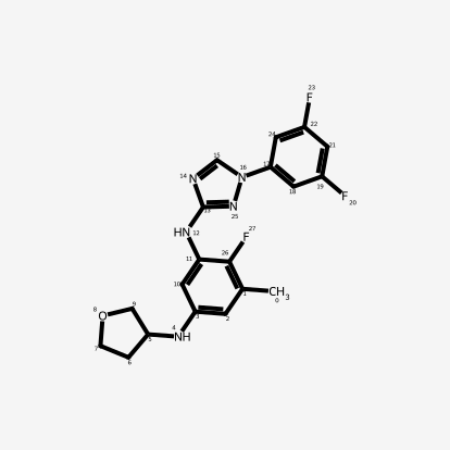 Cc1cc(NC2CCOC2)cc(Nc2ncn(-c3cc(F)cc(F)c3)n2)c1F